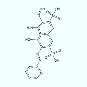 N=Nc1c(S(=O)(=O)O)cc2cc(S(=O)(=O)O)c(/N=N/c3ccccc3)c(O)c2c1N